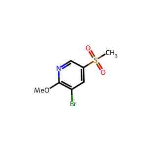 COc1ncc(S(C)(=O)=O)cc1Br